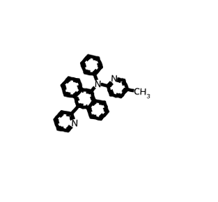 Cc1ccc(N(c2ccccc2)c2c3ccccc3c(-c3ccccn3)c3ccccc23)nc1